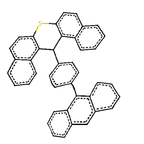 c1ccc2c3c(ccc2c1)Sc1ccc2ccccc2c1C3c1ccc(-c2c3ccccc3cc3ccccc23)cc1